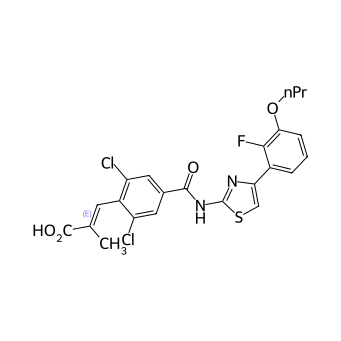 CCCOc1cccc(-c2csc(NC(=O)c3cc(Cl)c(/C=C(\C)C(=O)O)c(Cl)c3)n2)c1F